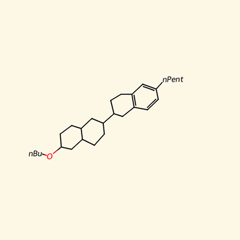 CCCCCc1ccc2c(c1)CCC(C1CCC3CC(OCCCC)CCC3C1)C2